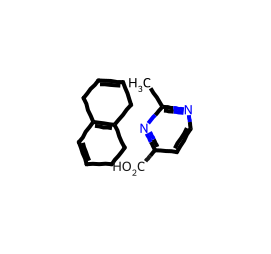 C1=CC2=C(CC=CC2)CC1.Cc1nccc(C(=O)O)n1